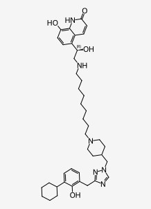 O=c1ccc2c([C@@H](O)CNCCCCCCCCCN3CCC(Cn4cnc(Cc5cccc(C6CCCCC6)c5O)n4)CC3)ccc(O)c2[nH]1